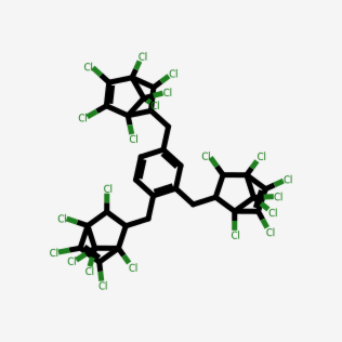 ClC1=C(Cl)C2(Cl)C(Cc3ccc(CC4C(Cl)C5(Cl)C(Cl)=C(Cl)C4(Cl)C5(Cl)Cl)c(CC4C(Cl)C5(Cl)C(Cl)=C(Cl)C4(Cl)C5(Cl)Cl)c3)C(Cl)C1(Cl)C2(Cl)Cl